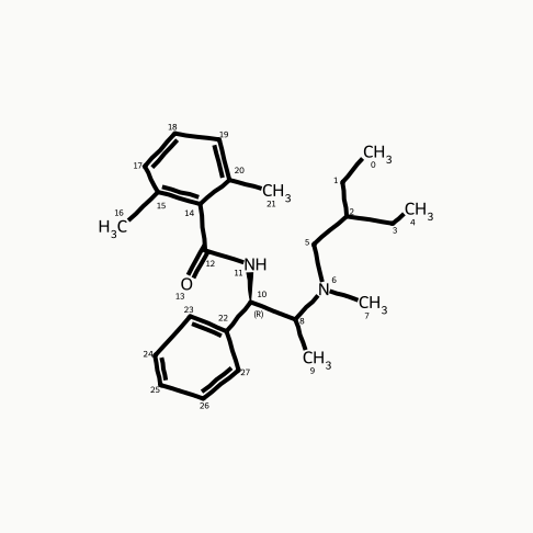 CCC(CC)CN(C)C(C)[C@H](NC(=O)c1c(C)cccc1C)c1ccccc1